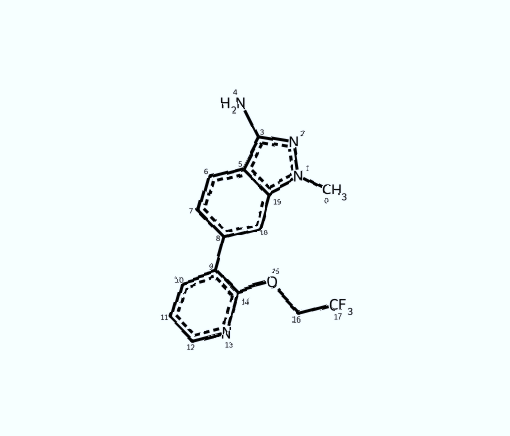 Cn1nc(N)c2ccc(-c3cccnc3OCC(F)(F)F)cc21